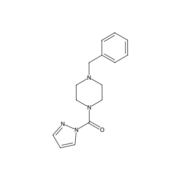 O=C(N1CCN(Cc2ccccc2)CC1)n1cccn1